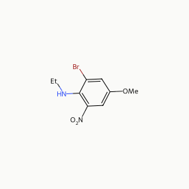 CCNc1c(Br)cc(OC)cc1[N+](=O)[O-]